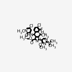 CCOC(=O)c1nn(-c2cnc(N(C)C)nc2OC)c(C(C)C)c1C(Nc1cc(Cl)cn(C)c1=O)c1ccc(Cl)c(F)c1